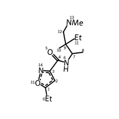 CCc1cc(C(=O)NC(C)C(C)(CC)CNC)no1